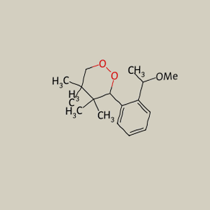 COC(C)c1ccccc1C1OOCC(C)(C)C1(C)C